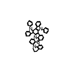 c1ccc(-n2c3ccccc3c3c2c2c4cccc5c4n(c2c2c4ccccc4n(-c4ccccc4)c32)-c2cccc3c2B5c2cccc4c2N3CCC4)cc1